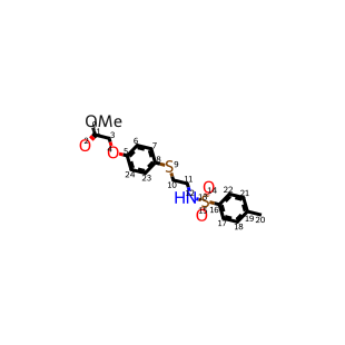 COC(=O)COc1ccc(SCCNS(=O)(=O)c2ccc(C)cc2)cc1